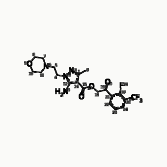 Cc1nn(CCN2CCOCC2)c(N)c1C(=O)OCC(=O)c1cccc(C(F)(F)F)c1F